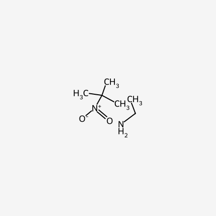 CC(C)(C)[N+](=O)[O-].CCN